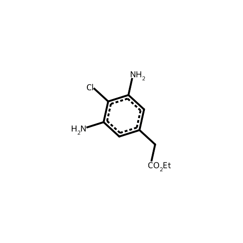 CCOC(=O)Cc1cc(N)c(Cl)c(N)c1